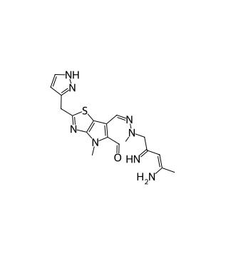 C/C(N)=C/C(=N)CN(C)/N=C\c1c(C=O)n(C)c2nc(Cc3cc[nH]n3)sc12